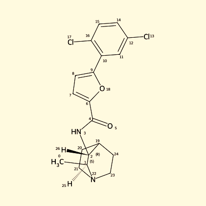 C[C@H]1[C@H](NC(=O)c2ccc(-c3cc(Cl)ccc3Cl)o2)C2CCN1CC2